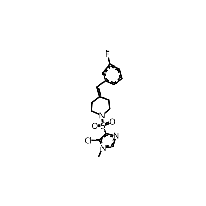 Cn1cnc(S(=O)(=O)N2CCC(=Cc3cccc(F)c3)CC2)c1Cl